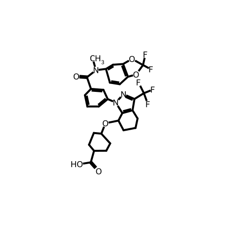 CN(C(=O)c1cccc(-n2nc(C(F)(F)F)c3c2C(OC2CCC(C(=O)O)CC2)CCC3)c1)c1ccc2c(c1)OC(F)(F)O2